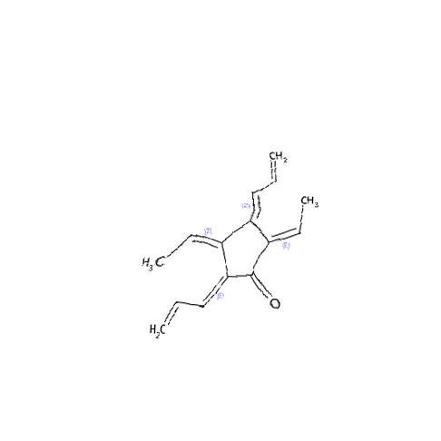 C=C/C=C1/C(=C/C)/C(=C\C=C)C(=O)/C1=C/C